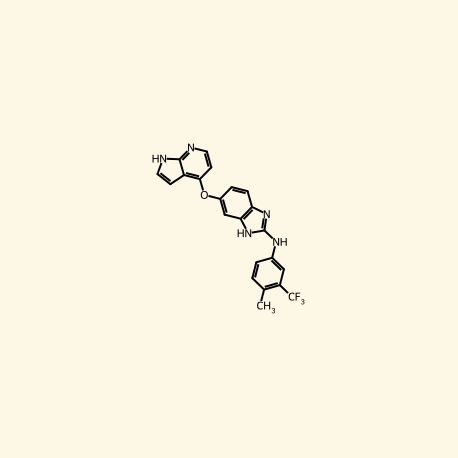 Cc1ccc(Nc2nc3ccc(Oc4ccnc5[nH]ccc45)cc3[nH]2)cc1C(F)(F)F